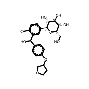 OC[C@@H]1O[C@@H](c2ccc(Cl)c(C(O)c3ccc(OC4CCOC4)cc3)c2)[C@H](O)[C@@H](O)[C@@H]1O